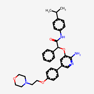 CC(C)c1ccc(NC(=O)C(Oc2cc(-c3ccc(OCCN4CCOCC4)cc3)cnc2N)c2ccccc2)cc1